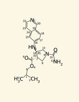 CC(C)COC(=O)[C@H]1CN(C(N)=O)C[C@@H]1Nc1ccc2cnccc2c1